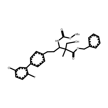 CCCCOC(=O)NC(CCc1ccc(-c2cc(Cl)ccc2F)cc1)C(C)(CO)C(=O)OCc1ccccc1